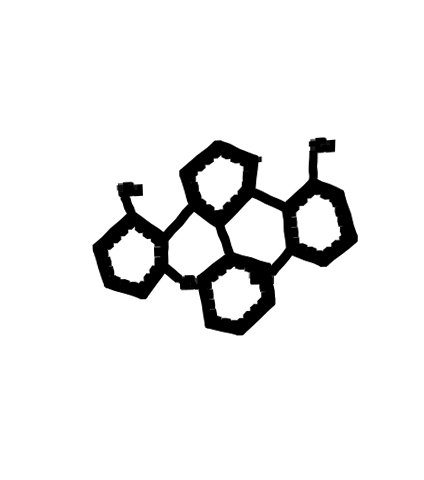 CC(C)(C)c1cccc(C(C)(C)C)c1-c1[c]ccc(-c2c(C(C)(C)C)cccc2C(C)(C)C)c1-c1ccccc1